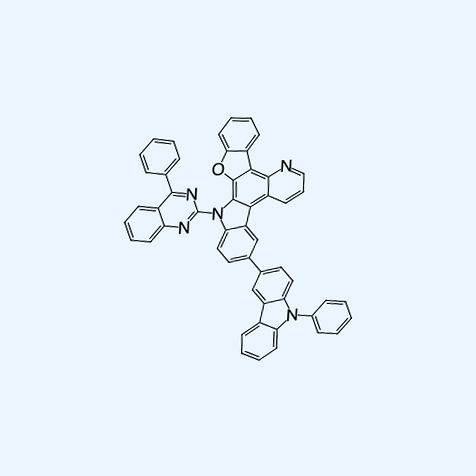 c1ccc(-c2nc(-n3c4ccc(-c5ccc6c(c5)c5ccccc5n6-c5ccccc5)cc4c4c5cccnc5c5c6ccccc6oc5c43)nc3ccccc23)cc1